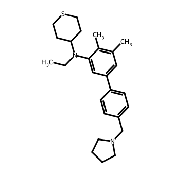 CCN(c1cc(-c2ccc(CN3CCCC3)cc2)cc(C)c1C)C1CCSCC1